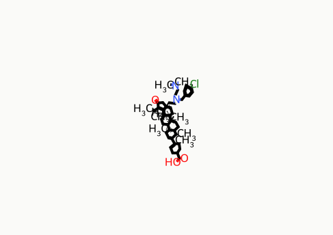 CC(C)C1=C2[C@H]3CCC4[C@@]5(C)CC=C(C6=CCC(C(=O)O)CC6)C(C)(C)C5CC[C@@]4(C)[C@]3(C)CC[C@@]2(CCN(CCN(C)C)Cc2ccc(Cl)cc2)CC1=O